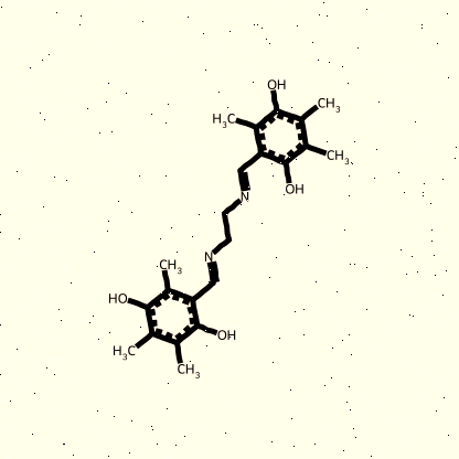 Cc1c(C)c(O)c(C=NCCN=Cc2c(C)c(O)c(C)c(C)c2O)c(C)c1O